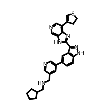 C1=C(c2cncc3[nH]c(-c4n[nH]c5ccc(-c6cncc(CNCC7CCCC7)c6)cc45)nc23)CCS1